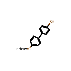 CCCCCCSc1ccc(-c2ccc(S)cc2)cc1